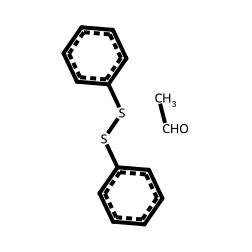 CC=O.c1ccc(SSc2ccccc2)cc1